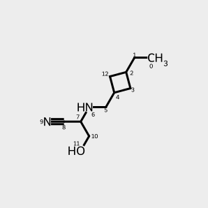 CCC1CC(CNC(C#N)CO)C1